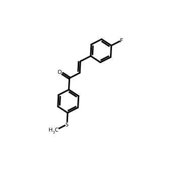 CSc1ccc(C(=O)/C=C/c2ccc(F)cc2)cc1